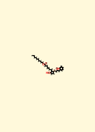 CCCCCCCCCCOC(=O)CCCCCCC1C(O)CCC1SCC(O)Cc1ccccc1